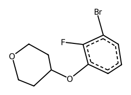 Fc1c(Br)cccc1OC1CCOCC1